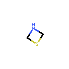 [CH]1NCS1